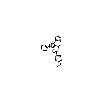 COc1ccc(C(=O)CC(C)c2cn(-c3ccccc3)nc2-c2cccs2)cc1